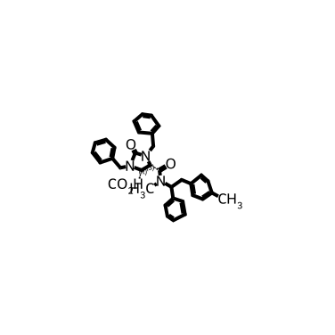 Cc1ccc(CC(c2ccccc2)N(C)C(=O)[C@@H]2[C@H](C(=O)O)N(Cc3ccccc3)C(=O)N2Cc2ccccc2)cc1